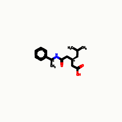 CC(C)C[C@@H](CC(=O)O)CC(=O)N[C@@H](C)c1ccccc1